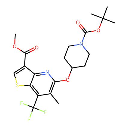 COC(=O)c1csc2c(C(F)(F)F)c(C)c(OC3CCN(C(=O)OC(C)(C)C)CC3)nc12